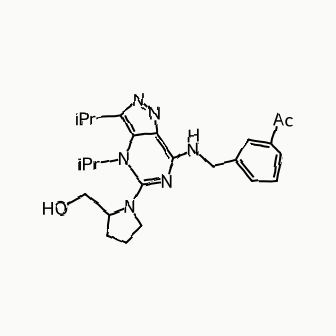 CC(=O)c1cccc(CNc2nc(N3CCCC3CO)n(C(C)C)c3c(C(C)C)nnc2-3)c1